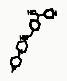 CN1CCC(N2CCC(NCc3ccc(C(O)c4ccncc4)cc3)CC2)CC1